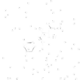 O=C(O)C(O)C(O)C(=O)Oc1ccc(O)cc1